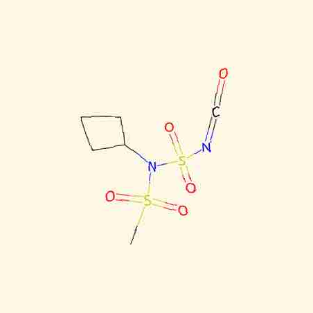 CS(=O)(=O)N(C1CCC1)S(=O)(=O)N=C=O